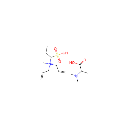 C=CC[N+](C)(CC=C)C(CC)S(=O)(=O)O.CC(C(=O)O)N(C)C